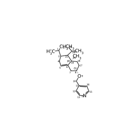 CC(C)C1CC=C2C[C@@H](OCc3ccncc3)CC[C@]2(C)C1C(C)C